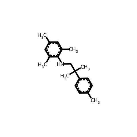 Cc1ccc(C(C)(C)CNc2c(C)cc(C)cc2C)cc1